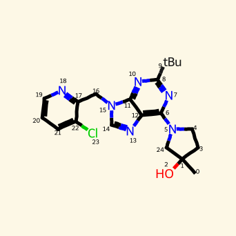 CC1(O)CCN(c2nc(C(C)(C)C)nc3c2ncn3Cc2ncccc2Cl)C1